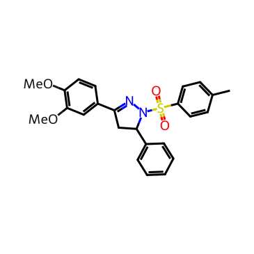 COc1ccc(C2=NN(S(=O)(=O)c3ccc(C)cc3)C(c3ccccc3)C2)cc1OC